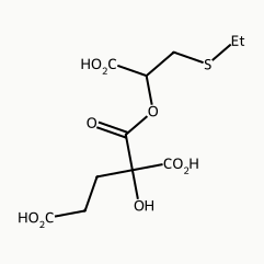 CCSCC(OC(=O)C(O)(CCC(=O)O)C(=O)O)C(=O)O